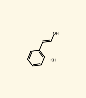 OC=Cc1ccccc1.[KH]